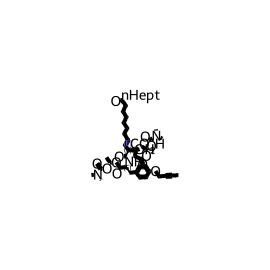 CC#CCOc1ccc(C[C@H](NC(=O)[C@@H](/C=C/CCCCCCC(=O)CCCCCCC)[C@@](O)(CC(=O)OC(C)OC(=O)N(C)C)C(=O)O)C(=O)OC(C)OC(=O)N(C)C)cc1